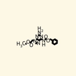 CCOC(=O)Cn1cnc2c(NC(=O)OCc3ccccc3)nc(N)nc21